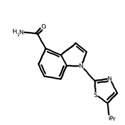 CC(C)c1cnc(-n2ccc3c(C(N)=O)cccc32)s1